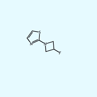 FC1CN(c2nccs2)C1